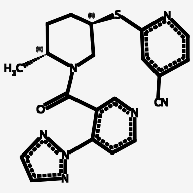 C[C@@H]1CC[C@@H](Sc2cc(C#N)ccn2)CN1C(=O)c1cnccc1-n1nccn1